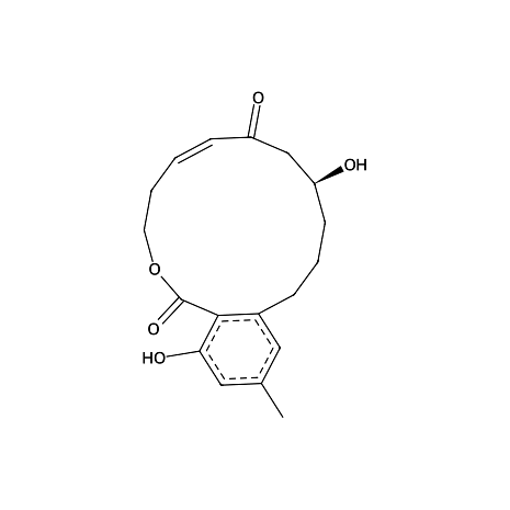 Cc1cc(O)c2c(c1)CCC[C@H](O)CC(=O)/C=C\CCOC2=O